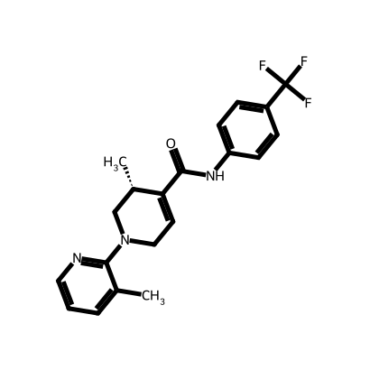 Cc1cccnc1N1CC=C(C(=O)Nc2ccc(C(F)(F)F)cc2)[C@@H](C)C1